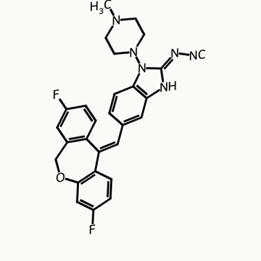 [C-]#[N+]/N=c1\[nH]c2cc(/C=C3\c4ccc(F)cc4COc4cc(F)ccc43)ccc2n1N1CCN(C)CC1